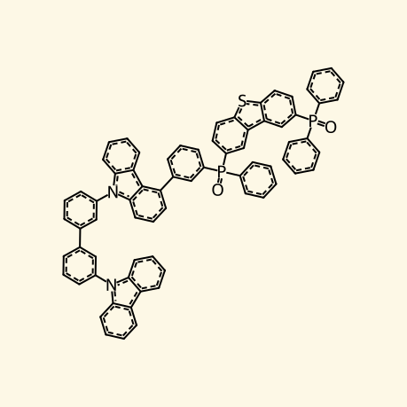 O=P(c1ccccc1)(c1ccccc1)c1ccc2sc3ccc(P(=O)(c4ccccc4)c4cccc(-c5cccc6c5c5ccccc5n6-c5cccc(-c6cccc(-n7c8ccccc8c8ccccc87)c6)c5)c4)cc3c2c1